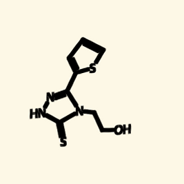 OCCn1c(-c2cccs2)n[nH]c1=S